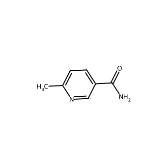 Cc1ccc(C(N)=O)[c]n1